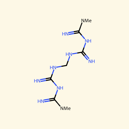 CNC(=N)NC(=N)NCNC(=N)NC(=N)NC